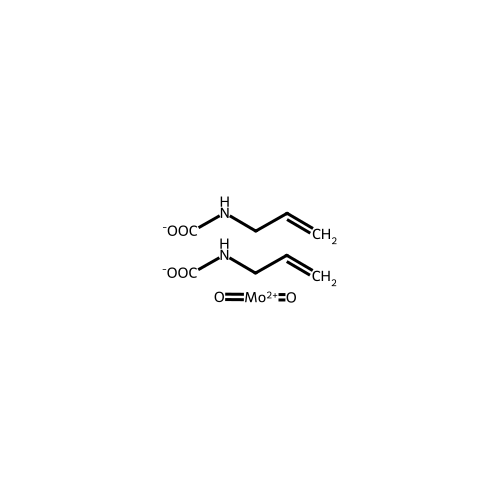 C=CCNC(=O)[O-].C=CCNC(=O)[O-].[O]=[Mo+2]=[O]